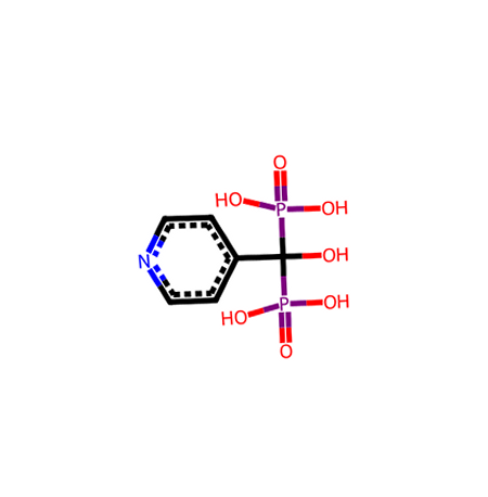 O=P(O)(O)C(O)(c1ccncc1)P(=O)(O)O